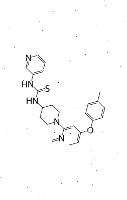 C=N/C(=C\C(=C/C)Oc1ccc(C)cc1)N1CCC(NC(=S)Nc2cccnc2)CC1